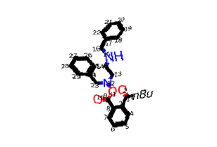 CCCCC(=O)c1ccccc1C(=O)ON(CCNCc1ccccc1)Cc1ccccc1